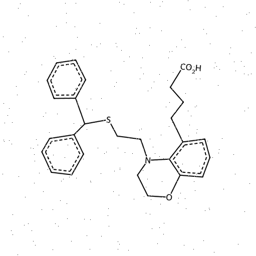 O=C(O)CCCc1cccc2c1N(CCSC(c1ccccc1)c1ccccc1)CCO2